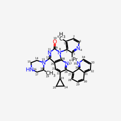 Cc1ccnc(C(C)C)c1-n1c(=O)nc(N2CCNC[C@@H]2C)c2cc(C3CC3)c(-c3cccc4cccnc34)nc21